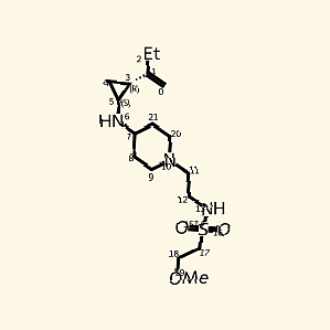 C=C(CC)[C@H]1C[C@@H]1NC1CCN(CCNS(=O)(=O)CCOC)CC1